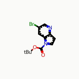 CC(C)(C)OC(=O)n1ccc2ncc(Br)cc21